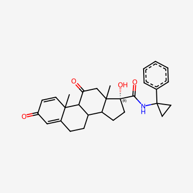 CC12C=CC(=O)C=C1CCC1C2C(=O)CC2(C)C1CC[C@]2(O)C(=O)NC1(c2ccccc2)CC1